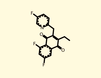 CCC1=C(Cc2ccc(F)cn2)C(=O)c2c(F)cc(F)cc2C1=O